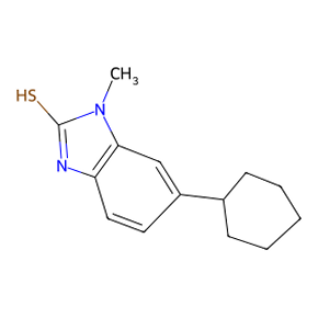 Cn1c(S)nc2ccc(C3CCCCC3)cc21